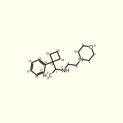 CC(NCCN1CCOCC1)C1(c2ccccc2)CCC1